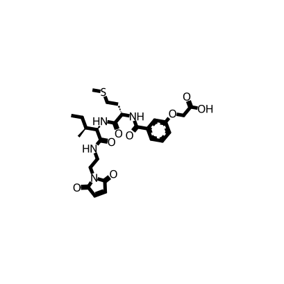 CC[C@H](C)[C@H](NC(=O)[C@H](CCSC)NC(=O)c1cccc(OCC(=O)O)c1)C(=O)NCCN1C(=O)C=CC1=O